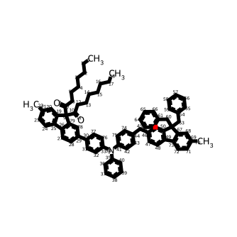 CCCCCCCC(=O)C1(C(=O)CCCCCCC)c2cc(C)ccc2-c2ccc(-c3ccc(N(c4ccccc4)c4ccc(Cc5ccc6c(c5)C(Cc5ccccc5)(Cc5ccccc5)c5cc(C)ccc5-6)cc4)cc3)cc21